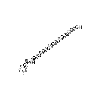 O=C(COC1CC/C=C/CCC1)NCCOCCOCCOCCOCCOCCOCCOCCOCCOCCO